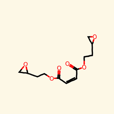 O=C(/C=C\C(=O)OCCC1CO1)OCCC1CO1